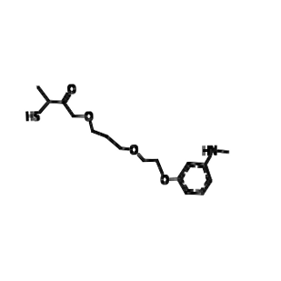 CNc1cccc(OCCOCCCOCC(=O)C(C)S)c1